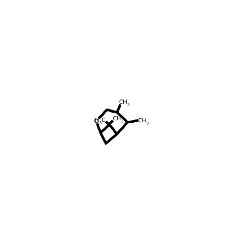 CC1COC2CC(C1C)C2(C)C